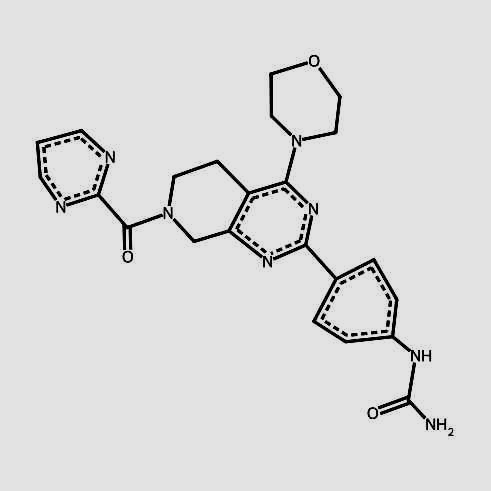 NC(=O)Nc1ccc(-c2nc3c(c(N4CCOCC4)n2)CCN(C(=O)c2ncccn2)C3)cc1